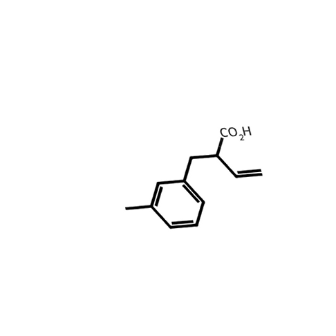 C=CC(Cc1cccc(C)c1)C(=O)O